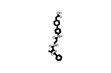 Cc1oc(-c2ccccc2)nc1C(=O)NCCC(=O)Nc1ccc(C2CCC(CC(=O)O)CC2)cc1